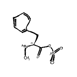 CN[C@@H](Cc1ccccc1)C(=O)O[SH](=O)=O